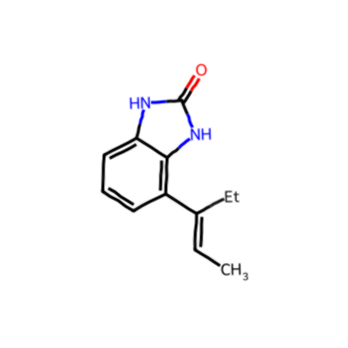 C/C=C(\CC)c1cccc2[nH]c(=O)[nH]c12